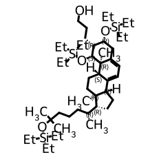 CC[Si](CC)(CC)O[C@@H]1CC2=CC=C3[C@@H]4CC[C@H]([C@H](C)CCCC(C)(C)O[Si](CC)(CC)CC)[C@@]4(C)CC[C@@H]3[C@@]2(C)[C@@H](O[Si](CC)(CC)CC)[C@@H]1CCCO